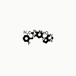 COc1ncnc2ccn(-c3cnc4nc(C)n(Cc5ccccc5F)c4c3)c12